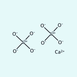 [Ca+2].[O-][I+3]([O-])([O-])[O-].[O-][I+3]([O-])([O-])[O-]